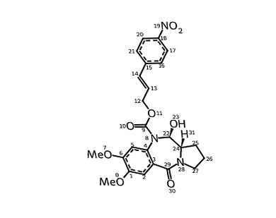 COc1cc2c(cc1OC)N(C(=O)OC/C=C/c1ccc([N+](=O)[O-])cc1)[C@@H](O)[C@@H]1CCCN1C2=O